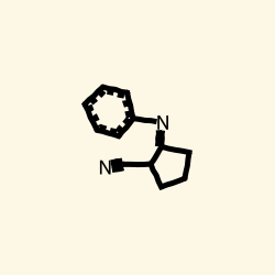 N#CC1CCCC1=Nc1ccccc1